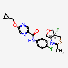 CC1=N[C@@]2(c3cc(NC(=O)c4cnc(OCC5CC5)cn4)ccc3F)COC[C@@]2(F)CS1